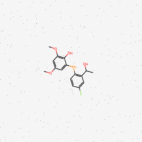 COc1cc(OC)c(O)c(Pc2ccc(F)cc2C(C)O)c1